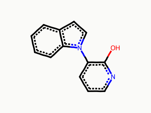 Oc1ncccc1-n1ccc2ccccc21